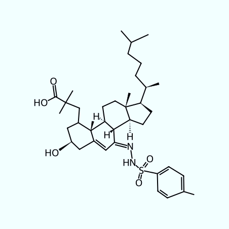 Cc1ccc(S(=O)(=O)NN=C2C=C3C[C@@H](O)CC(CC(C)(C)C(=O)O)[C@]3(C)[C@H]3CC[C@]4(C)[C@@H]([C@H](C)CCCC(C)C)CC[C@H]4[C@H]23)cc1